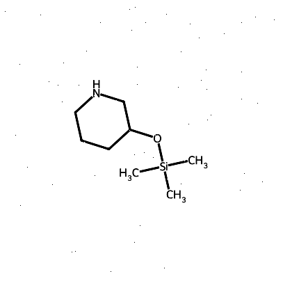 C[Si](C)(C)OC1CCCNC1